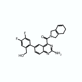 Nc1nc(C(=O)N2CC3=C(CCC=C3)C2)c2cc(-c3cc(F)c(F)cc3CO)ccc2n1